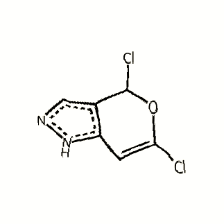 ClC1=Cc2[nH]ncc2C(Cl)O1